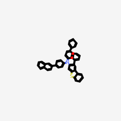 c1ccc(-c2ccc(N(c3ccc(-c4ccc5ccccc5c4)cc3)c3cc4sc5ccccc5c4cc3-c3ccccc3)cc2)cc1